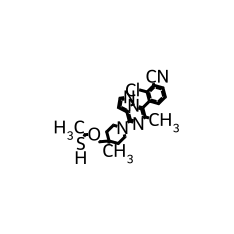 Cc1nc(N2CCC(C)(CO[C@@H](C)S)CC2)c2ccnn2c1-c1cccc(C#N)c1Cl